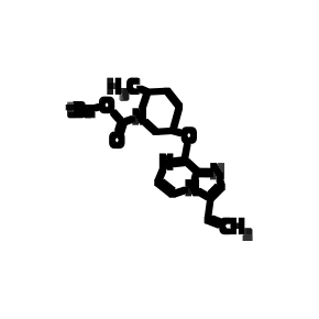 C=Cc1cnc2c(OC3CCC(C)N(C(=O)OC(C)(C)C)C3)nccn12